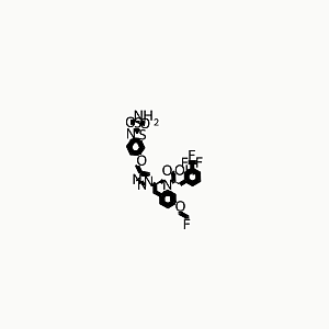 NS(=O)(=O)c1nc2ccc(OCc3cn([C@@H](CN[C@@H](Cc4cccc(C(F)(F)F)c4)C(=O)O)Cc4ccc(OCCF)cc4)nn3)cc2s1